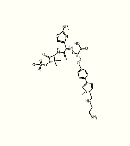 C[n+]1cc(-c2ccc(OC[C@H](O/N=C(\C(=O)NC3C(=O)N(OS(=O)(=O)[O-])C3(C)C)c3csc(N)n3)C(=O)O)cc2)ccc1CNCCN